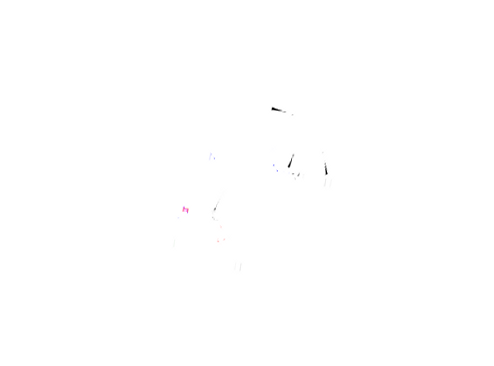 CO[C@]1(c2ccnc(C(N)=O)c2)[C@@H]2CCC[C@H]1CN([C@@H]1C[C@@H]3[C@H](C1)C3(F)F)C2.Cl